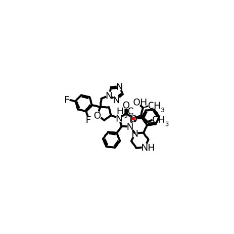 CCC([C@H](C)O)N1C(=O)N(C2COC(Cn3cncn3)(c3ccc(F)cc3F)C2)C(c2ccccc2)N1N1CCNCC1c1ccccc1OC